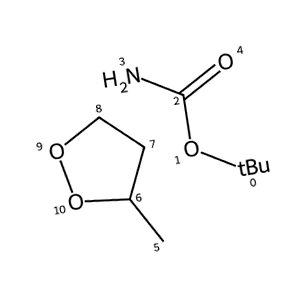 CC(C)(C)OC(N)=O.CC1CCOO1